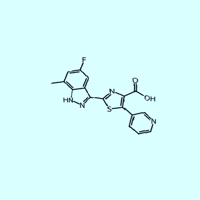 Cc1cc(F)cc2c(-c3nc(C(=O)O)c(-c4cccnc4)s3)n[nH]c12